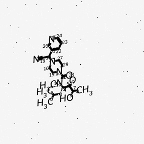 CC(C)C[C@@H](C(=O)C(C)O)N(C)C(=O)N1CCN(C(C#N)c2cccnc2)CC1